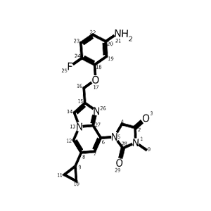 CN1C(=O)CN(c2cc(C3CC3)cn3cc(COc4cc(N)ccc4F)nc23)C1=O